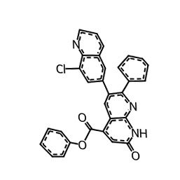 O=C(Oc1ccccc1)c1cc(=O)[nH]c2nc(-c3ccccc3)c(-c3cc(Cl)c4ncccc4c3)cc12